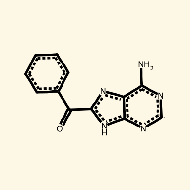 Nc1n[c]nc2[nH]c(C(=O)c3ccccc3)nc12